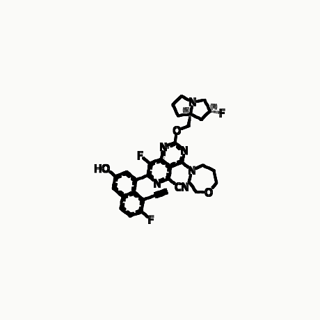 C#Cc1c(F)ccc2cc(O)cc(-c3nc(C#N)c4c(N5CCCOCC5)nc(OC[C@@]56CCCN5C[C@H](F)C6)nc4c3F)c12